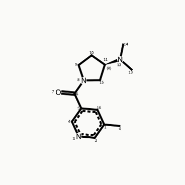 Cc1cncc(C(=O)N2CC[C@@H](N(C)C)C2)c1